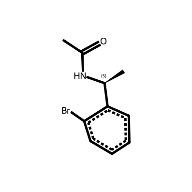 CC(=O)N[C@@H](C)c1ccccc1Br